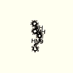 O=C(NCCN1CCCCC1)c1ccc2[nH]c3c(c2c1)CCCC3NC1CCCCC1